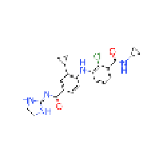 O=C(N=C1NCCN1)c1ccc(Nc2cccc(C(=O)NC3CC3)c2Cl)c(C2CC2)c1